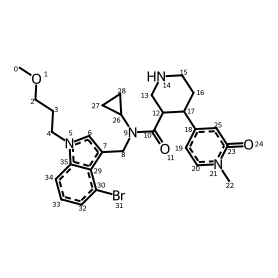 COCCCn1cc(CN(C(=O)C2CNCCC2c2ccn(C)c(=O)c2)C2CC2)c2c(Br)cccc21